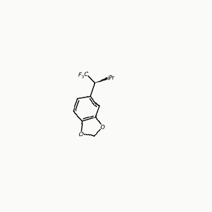 CC(C)[C@@H](c1ccc2c(c1)OCO2)C(F)(F)F